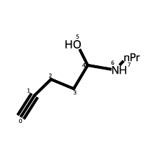 C#CCCC(O)NCCC